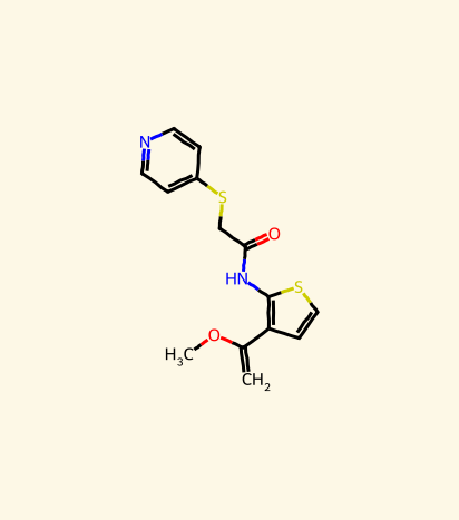 C=C(OC)c1ccsc1NC(=O)CSc1ccncc1